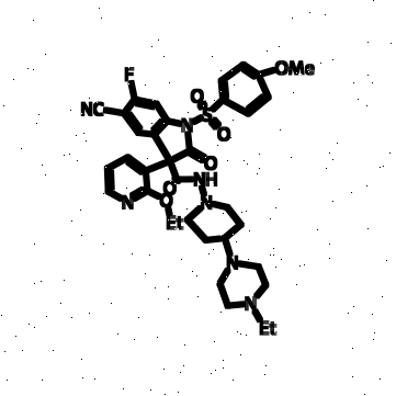 CCOc1ncccc1C1(C(=O)NN2CCC(N3CCN(CC)CC3)CC2)C(=O)N(S(=O)(=O)c2ccc(OC)cc2)c2cc(F)c(C#N)cc21